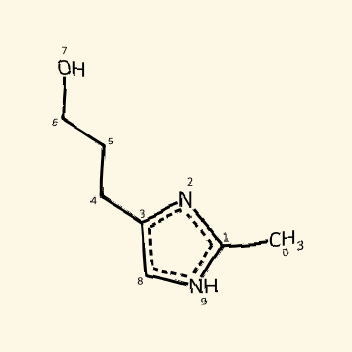 Cc1nc(CCCO)c[nH]1